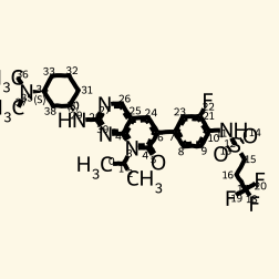 CC(C)n1c(=O)c(-c2ccc(NS(=O)(=O)CCC(F)(F)F)c(F)c2)cc2cnc(N[C@H]3CCC[C@H](N(C)C)C3)nc21